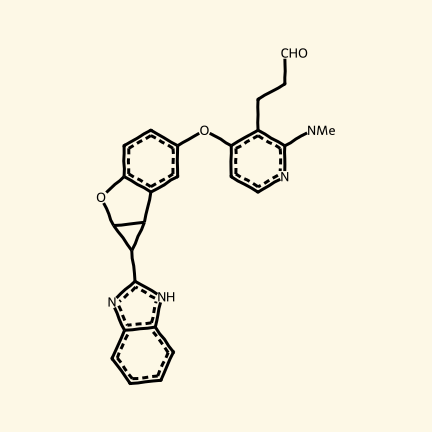 CNc1nccc(Oc2ccc3c(c2)C2C(O3)C2c2nc3ccccc3[nH]2)c1CCC=O